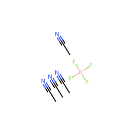 CC#N.CC#N.CC#N.CC#N.F[B-](F)(F)F